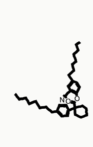 CCCCCCCCc1ccc(C2(C(=O)Oc3ccc(CCCCCCCC)cc3C#N)CCCCC2)cc1